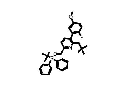 COc1ccc(F)c(-c2ccc(CO[Si](c3ccccc3)(c3ccccc3)C(C)(C)C)nc2CC(C)(C)C)c1